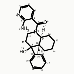 Nc1ncccc1C(=O)N1CCC(O)(c2ccccc2)[C@H]2CCCC[C@@H]21